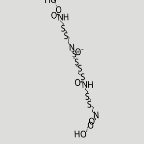 O=C(NCCSCSCC/N=C/[S+]([O-])CSCSCSC(=O)NCCSCSCC/N=C\OOCCO)OCCO